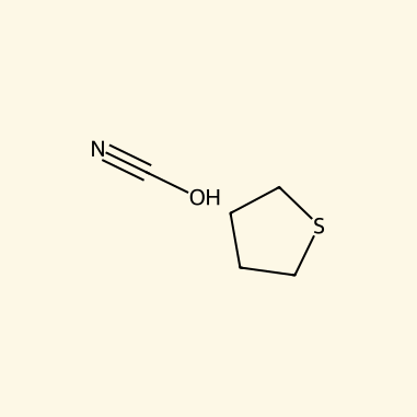 C1CCSC1.N#CO